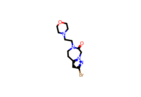 O=C1Cn2nc(Br)cc2CCN1CCN1CCOCC1